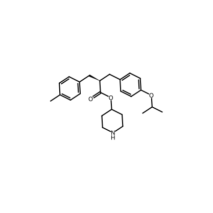 Cc1ccc(C[C@@H](Cc2ccc(OC(C)C)cc2)C(=O)OC2CCNCC2)cc1